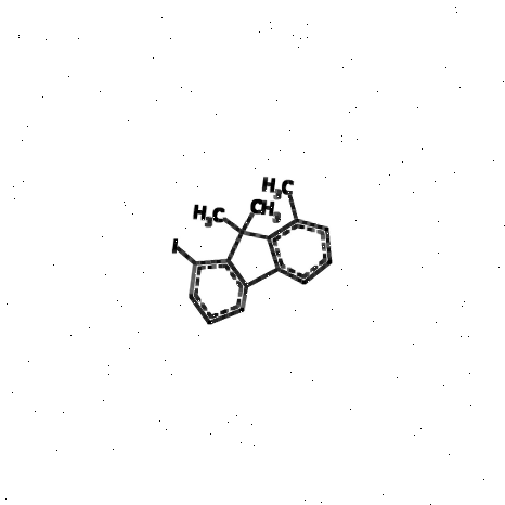 Cc1cccc2c1C(C)(C)c1c(I)cccc1-2